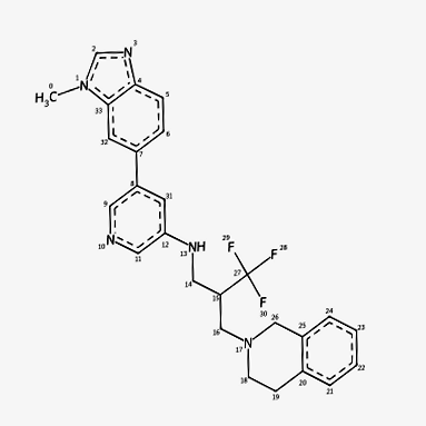 Cn1cnc2ccc(-c3cncc(NCC(CN4CCc5ccccc5C4)C(F)(F)F)c3)cc21